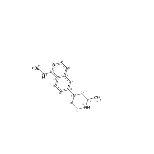 CCCCNc1ncnc2cc(N3CCNC(C)C3)ccc12